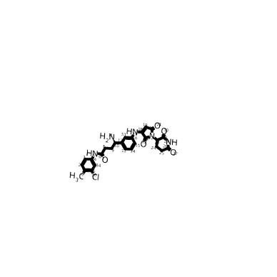 Cc1ccc(NC(=O)CC[C@@H](N)c2cccc(NC3=CC(=O)N(C4CCC(=O)NC4=O)C3=O)c2)cc1Cl